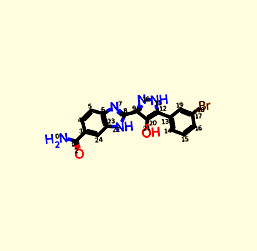 NC(=O)c1ccc2nc(-c3n[nH]c(-c4cccc(Br)c4)c3O)[nH]c2c1